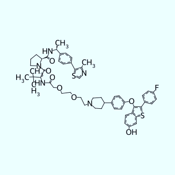 Cc1ncsc1-c1ccc([C@H](C)NC(=O)[C@@H]2CCCN2C(=O)C(NC(=O)COCCOCCN2CCC(c3ccc(Oc4c(-c5ccc(F)cc5)sc5cc(O)ccc45)cc3)CC2)C(C)(C)C)cc1